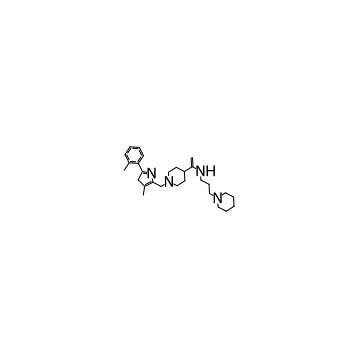 C=C(NCCCN1CCCCC1)C1CCN(CC2=C(C)CC(c3ccccc3C)=N2)CC1